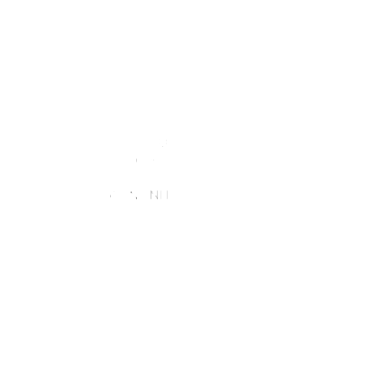 [C-]#[N+]NC(Cc1cccc2ccccc12)C(=O)OC